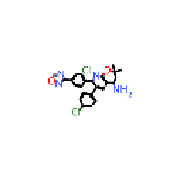 CC1(C)CC(N)c2cc(-c3ccc(Cl)cc3)c(-c3ccc(-c4ncon4)cc3Cl)nc2O1